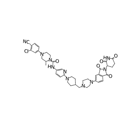 CC1CN(c2ccc(C#N)c(Cl)c2)CCN1C(=O)Nc1ccc(N2CCC(CN3CCN(c4ccc5c(c4)C(=O)N(C4CCC(=O)NC4=O)C5=O)CC3)CC2)nc1